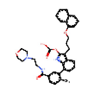 Cc1ccc(C(=O)NCCN2CCOCC2)cc1-c1cccc2c(CCCOc3cccc4ccccc34)c(OC(=O)O)[nH]c12